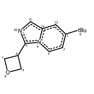 CC(C)(C)c1ccn2c(C3COC3)ncc2c1